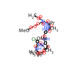 C=CCOC(=O)CCN(CCC(=O)N[C@H](C(=O)N[C@@H](C)C(=O)Nc1ccc(COC(=O)NCc2ccc([C@H]3O[C@@H]3[C@@H](C)[C@@H]3C/C=C/C(=O)N[C@H](Cc4ccc(OC)c(Cl)c4)C(=O)NCC(C)(C)C(=O)O[C@@H](CC(C)C)C(=O)O3)cc2)cc1)C(C)C)C(=O)CCOCCOCCOCCOC